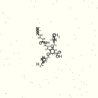 Cn1cc(COc2cc(C(=O)O)cc(OCc3c4n(C)n3-4)c2CCCNC(=O)CCCN=[N+]=[N-])nn1